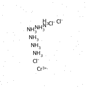 N.N.N.N.N.N.[Cl-].[Cl-].[Cl-].[Cr+3]